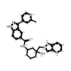 Cc1cc(-c2n[nH]c3ccc(C(=O)NC4CCCC(O)(Cn5cc6ncccc6n5)C4)cc23)ccn1